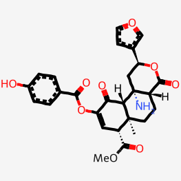 COC(=O)[C@@H]1C=C(OC(=O)c2ccc(O)cc2)C(=O)[C@H]2[C@@]1(C)CC[C@H]1C(=O)O[C@H](c3ccoc3)C[C@@]12N